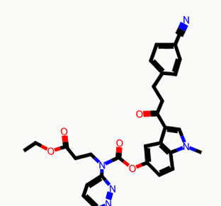 CCOC(=O)CCN(C(=O)Oc1ccc2c(c1)c(C(=O)CCc1ccc(C#N)cc1)cn2C)c1cccnn1